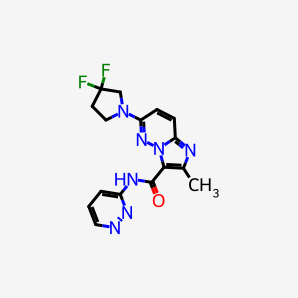 Cc1nc2ccc(N3CCC(F)(F)C3)nn2c1C(=O)Nc1cccnn1